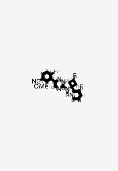 COc1c(C#N)ccc(F)c1-c1cnc(N(C)[C@]2(c3ncccc3F)C[C@@H](F)C2)nn1